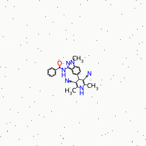 CC1=C(C#N)C(c2ccc3c(c2)c(NC(=O)c2ccccc2)nn3C)C(C#N)=C(C)N1